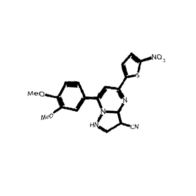 COc1ccc(C2=CC(c3ccc([N+](=O)[O-])s3)=NC3C(C#N)CNN23)cc1OC